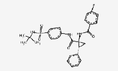 CC(C)(C)NS(=O)(=O)c1ccc(NC(=O)[C@]2(NC(=O)c3ccc(F)cc3)C[C@@H]2c2ccccc2)cc1